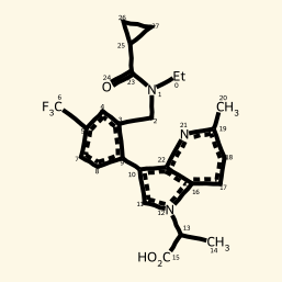 CCN(Cc1cc(C(F)(F)F)ccc1-c1cn(C(C)C(=O)O)c2ccc(C)nc12)C(=O)C1CC1